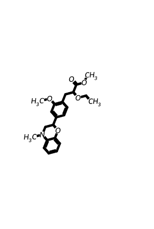 CCOC(Cc1ccc(C2CN(C)c3ccccc3O2)cc1OC)C(=O)OC